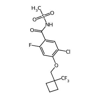 CS(=O)(=O)NC(=O)c1cc(Cl)c(OCC2(C(F)(F)F)CCC2)cc1F